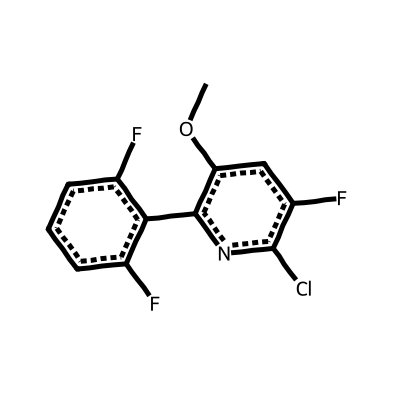 COc1cc(F)c(Cl)nc1-c1c(F)cccc1F